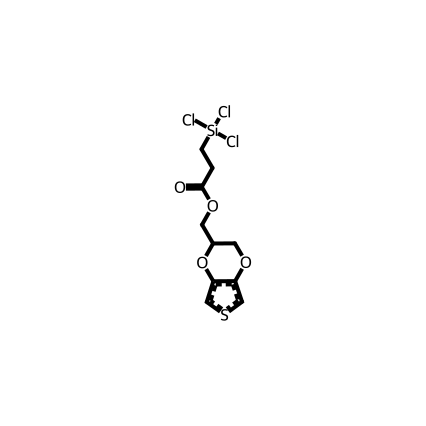 O=C(CC[Si](Cl)(Cl)Cl)OCC1COc2cscc2O1